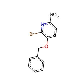 O=[N+]([O-])c1ccc(OCc2ccccc2)c(Br)n1